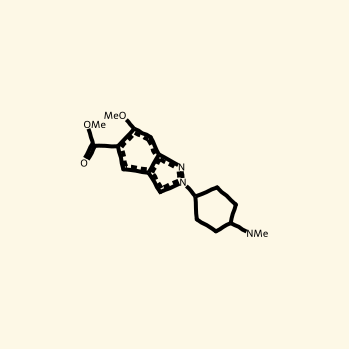 CNC1CCC(n2cc3cc(C(=O)OC)c(OC)cc3n2)CC1